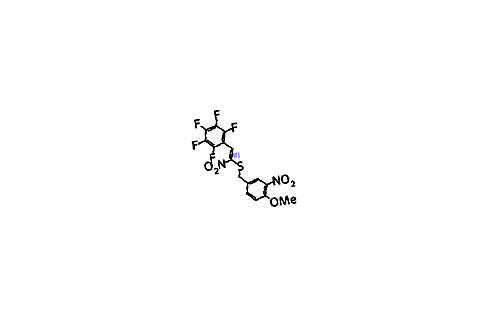 COc1ccc(CS/C(=C/c2c(F)c(F)c(F)c(F)c2F)[N+](=O)[O-])cc1[N+](=O)[O-]